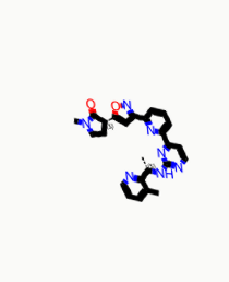 Cc1cccnc1[C@H](C)Nc1nccc(-c2cccc(-c3cc([C@@H]4CCN(C)C4=O)on3)n2)n1